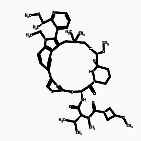 CCn1c(-c2cccnc2[C@H](C)OC)c2c3cc(ccc31)-c1csc(n1)C[C@H](NC(=O)[C@H](C(C)C)N(C)C(=O)N1CC(OC)C1)C(=O)N1CCC[C@H](N1)[C@H](OC)CCC(C)(C)C2